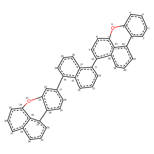 c1ccc2c(c1)Oc1ccc(-c3cccc4c(-c5ccc6c(c5)Oc5cccc7cccc-6c57)cccc34)c3cccc-2c13